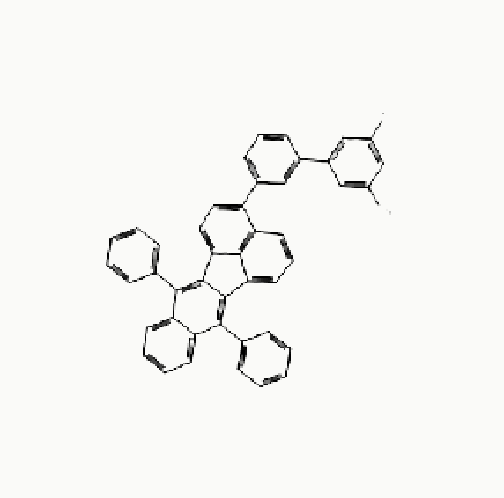 [C-]#[N+]c1cc(C#N)cc(-c2cccc(-c3ccc4c5c(cccc35)-c3c-4c(-c4ccccc4)c4ccccc4c3-c3ccccc3)c2)c1